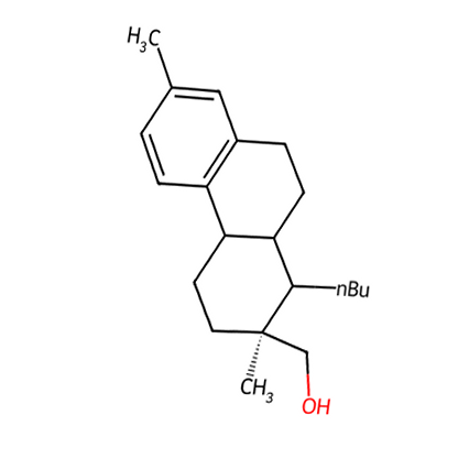 CCCCC1C2CCc3cc(C)ccc3C2CC[C@]1(C)CO